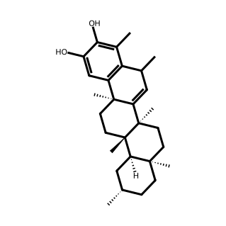 Cc1c(O)c(O)cc2c1C(C)C=C1[C@@]2(C)CC[C@@]2(C)[C@@H]3C[C@@H](C)CC[C@]3(C)CC[C@]12C